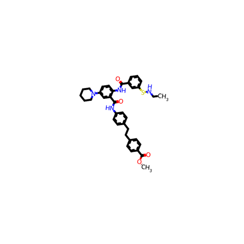 CCNSc1cccc(C(=O)Nc2ccc(N3CCCCC3)cc2C(=O)Nc2ccc(CCc3ccc(C(=O)OC)cc3)cc2)c1